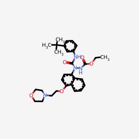 CCOC(=O)NN(C(=O)Nc1cccc(C(C)(C)C)c1)c1ccc(OCCN2CCOCC2)c2ccccc12